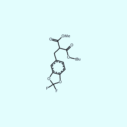 COC(=O)C(Cc1ccc2c(c1)OC(F)(F)O2)C(=O)OC(C)(C)C